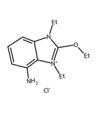 CCOc1n(CC)c2cccc(N)c2[n+]1CC.[Cl-]